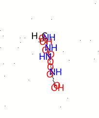 CN[C@@H](CCCCNC(=O)CCC(=O)NCCOCCOCCNC(=O)CCCCCCC(=O)O)C(=O)O